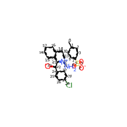 Cc1ccc(S(=O)(=O)[O-])cc1.N[n+]1ccc2ccccc2c1C(=O)c1ccc(Cl)cc1